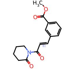 COC(=O)c1cccc(/C=C/C(=O)N2CCCCC2=O)c1